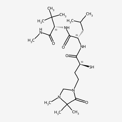 CNC(=O)[C@@H](NC(=O)[C@H](CC(C)C)NC(=O)[C@@H](S)CCN1CN(C)C(C)(C)C1=O)C(C)(C)C